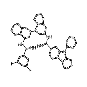 N=C(Nc1cc(-c2cc(NC(=N)c3cc(F)cc(F)c3)c3ccccc3c2)c2ccccc2c1)c1ccc2c3ccccc3n(-c3ccccc3)c2c1